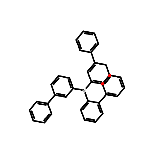 C1=C(c2ccccc2)CCC=C1N(c1cccc(-c2ccccc2)c1)c1ccccc1-c1ccccc1